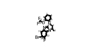 CC1CN(c2ccccc2OC(F)F)c2nc3cc(Br)c(F)cc3n21